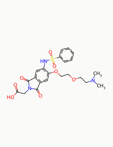 CN(C)CCOCCOc1cc2c(cc1NS(=O)(=O)c1ccccc1)C(=O)N(CC(=O)O)C2=O